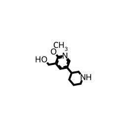 COc1ncc(C2CCCNC2)cc1CO